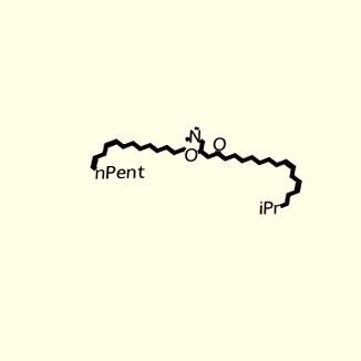 CCCCC/C=C\C/C=C\CCCCCCCCOC(CC(=O)CCCCCCC/C=C\C/C=C\CCC(C)C)CN(C)C